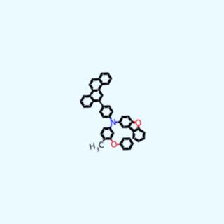 Cc1ccc(N(c2ccc(-c3cc4c5ccccc5ccc4c4ccccc34)cc2)c2ccc3oc4ccccc4c3c2)cc1Oc1ccccc1